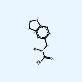 NC(=O)N(S)Cc1ccc2c(c1)CCO2